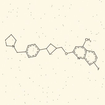 Cc1cc(OCC2CC(c3ccc(CN4CCCC4)cc3)C2)nc2cc(F)ccc12